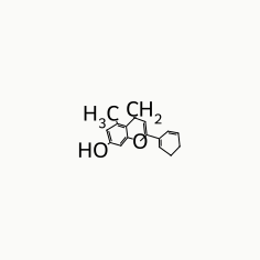 C=C1C=C(C2=CCCC=C2)Oc2cc(O)cc(C)c21